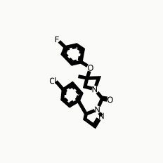 CC1(Oc2ccc(F)cc2)CN(C(=O)N2N=CCC2c2ccc(Cl)cc2)C1